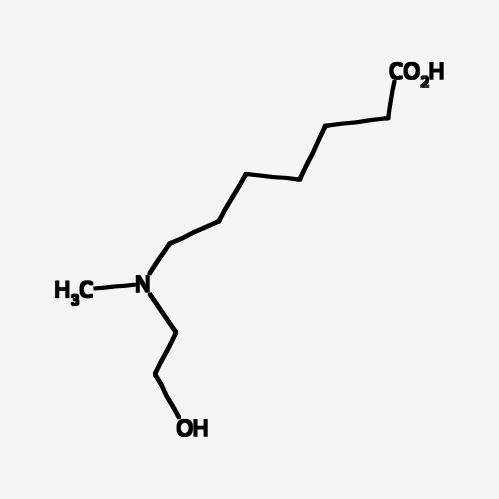 CN(CCO)CCCCCCC(=O)O